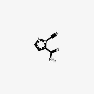 N#Cn1nccc1C(N)=O